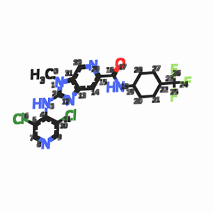 Cn1c(Nc2c(Cl)cncc2Cl)nc2cc(C(=O)NC3CCC(C(F)(F)F)CC3)ncc21